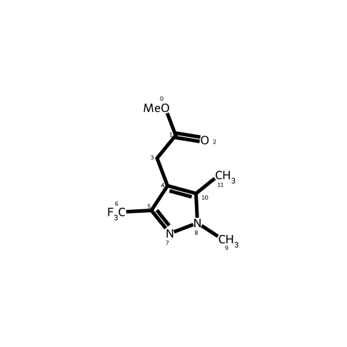 COC(=O)Cc1c(C(F)(F)F)nn(C)c1C